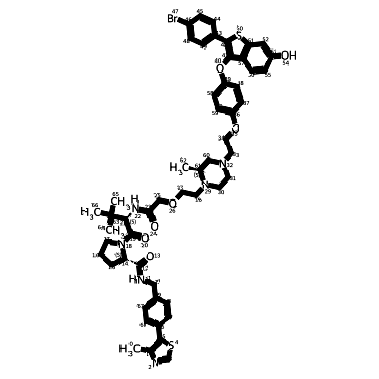 Cc1ncsc1-c1ccc(CNC(=O)[C@@H]2CCCN2C(=O)[C@@H](NC(=O)COCCN2CCN(CCOc3ccc(Oc4c(-c5ccc(Br)cc5)sc5cc(O)ccc45)cc3)C[C@@H]2C)C(C)(C)C)cc1